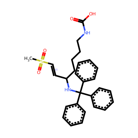 CS(=O)(=O)/C=C/C(CCCCNC(=O)O)NC(c1ccccc1)(c1ccccc1)c1ccccc1